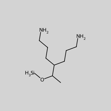 CC(O[SiH3])C(CCCN)CCCN